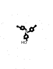 C#Cc1ccc(CN(Cc2ccc(C#C)cc2)Cc2ccc(CO)cc2)cc1